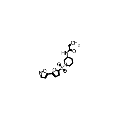 C=CC(=O)N[C@H]1CCCN(S(=O)(=O)c2ccc(-c3ccno3)o2)C1